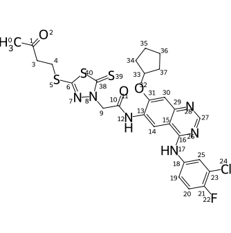 CC(=O)CCSc1nn(CC(=O)Nc2cc3c(Nc4ccc(F)c(Cl)c4)ncnc3cc2OC2CCCC2)c(=S)s1